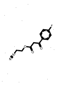 N#[N+]CCOC(=O)CC(=O)c1ccc(F)cc1